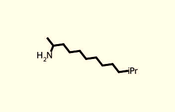 CC(C)CCCCCCCCC(C)N